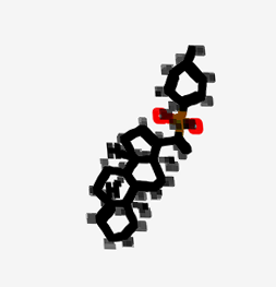 C=C(C1=CC[C@H]2[C@@H]3CCC4=CCCC[C@]4(C)C3=CC[C@]12C)S(=O)(=O)c1ccc(C)cc1